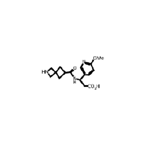 COc1ccc(C(CC(=O)O)NC(=O)C2CC3(CNC3)C2)cn1